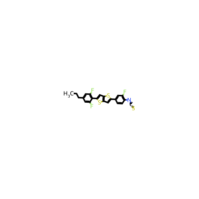 CCCc1cc(F)c(-c2cc3sc(-c4ccc(N=C=S)c(F)c4)cc3s2)c(F)c1